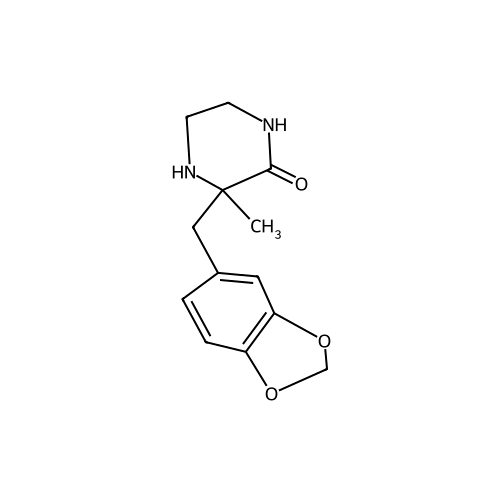 CC1(Cc2ccc3c(c2)OCO3)NCCNC1=O